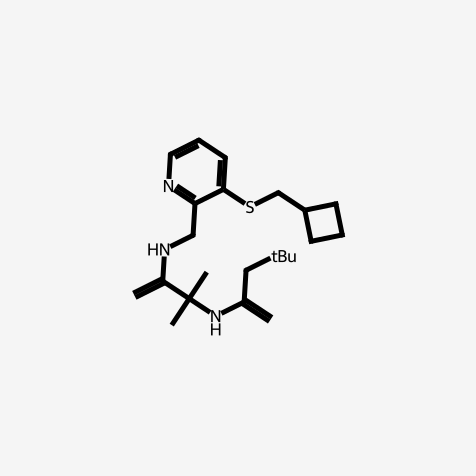 C=C(CC(C)(C)C)NC(C)(C)C(=C)NCc1ncccc1SCC1CCC1